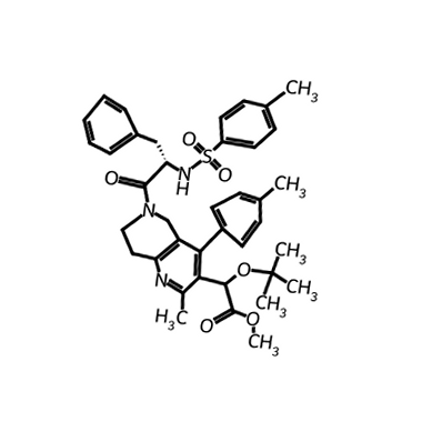 COC(=O)C(OC(C)(C)C)c1c(C)nc2c(c1-c1ccc(C)cc1)CN(C(=O)[C@H](Cc1ccccc1)NS(=O)(=O)c1ccc(C)cc1)CC2